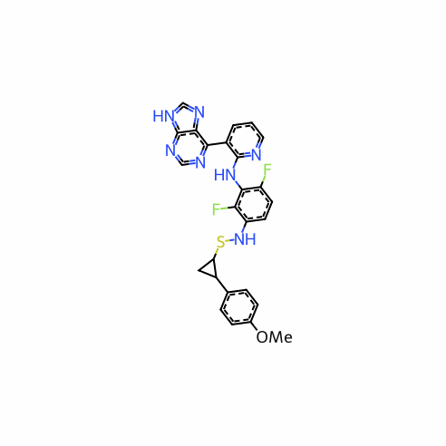 COc1ccc(C2CC2SNc2ccc(F)c(Nc3ncccc3-c3ncnc4[nH]cnc34)c2F)cc1